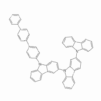 c1ccc(-c2ccc(-c3ccc(-n4c5ccccc5c5cc(-n6c7ccccc7c7ccc(-n8c9ccccc9c9ccccc98)cc76)ccc54)cc3)cc2)cc1